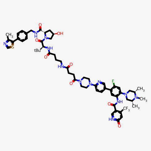 Cc1ncsc1-c1ccc(CNC(=O)[C@@H]2C[C@@H](O)CN2C(=O)[C@@H](NC(=O)CCCNC(=O)CCC(=O)N2CCN(c3ccc(-c4cc(NC(=O)c5c[nH]c(=O)cc5C(F)(F)F)c(N5C[C@@H](C)N(C)[C@@H](C)C5)cc4F)cn3)CC2)C(C)(C)C)cc1